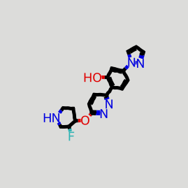 Oc1cc(-n2cccn2)ccc1-c1ccc(OC2CCNCC2F)nn1